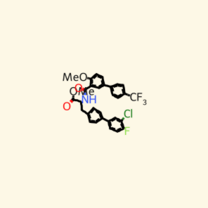 COC(=O)C(Cc1ccc(-c2ccc(F)c(Cl)c2)cc1)NC(=O)c1cc(-c2ccc(C(F)(F)F)cc2)ccc1OC